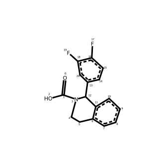 O=C(O)N1CCc2ccccc2C1c1ccc(F)c(F)c1